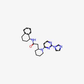 O=C(CC1CCCCN1c1ccnc(-n2ccnc2)n1)NC1CCCc2ccccc21